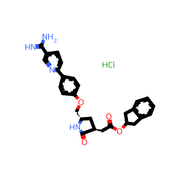 Cl.N=C(N)c1ccc(-c2ccc(OC[C@@H]3C[C@@H](CC(=O)OC4Cc5ccccc5C4)C(=O)N3)cc2)nc1